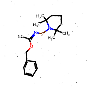 CC1(C)CCCC(C)(C)N1SN=C(C#N)OCc1ccccc1